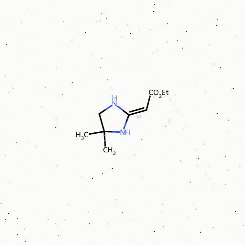 CCOC(=O)/C=C1\NCC(C)(C)N1